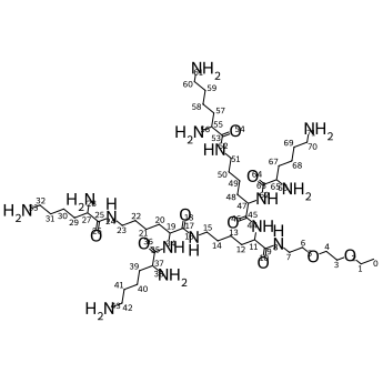 CCOCCOCCNC(=O)C(CCCCNC(=O)C(CCCCNC(=O)C(N)CCCCN)NC(=O)C(N)CCCCN)NC(=O)C(CCCCNC(=O)C(N)CCCCN)NC(=O)C(N)CCCCN